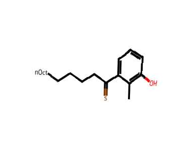 CCCCCCCCCCCCC(=S)c1cccc(O)c1C